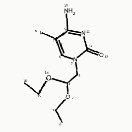 CCOC(Cn1cc(I)c(N)nc1=O)OCC